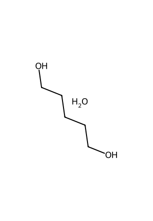 O.OCCCCCO